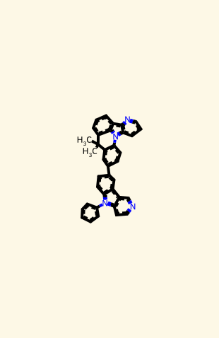 CC1(C)c2cc(-c3ccc4c(c3)c3cnccc3n4-c3ccccc3)ccc2-n2c3cccnc3c3cccc1c32